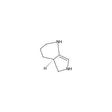 C1=C2NCCC[C@@H]2CN1